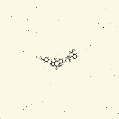 COc1ccc(Cn2nnc3c(=O)[nH]c4cc(/C=C/C(=O)Nc5ccccc5C(=O)O)ccc4c(=O)c32)cc1